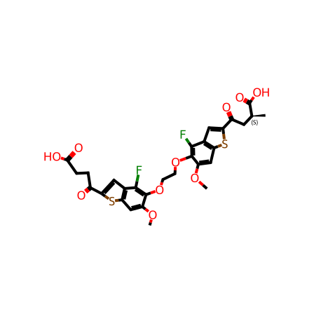 COc1cc2sc(C(=O)CCC(=O)O)cc2c(F)c1OCCOc1c(OC)cc2sc(C(=O)C[C@H](C)C(=O)O)cc2c1F